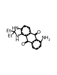 CCC1(CC)Nc2ccc3c(c2N1)C(=O)c1cccc(N)c1C3=O